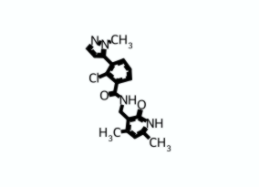 Cc1cc(C)c(CNC(=O)c2cccc(-c3ccnn3C)c2Cl)c(=O)[nH]1